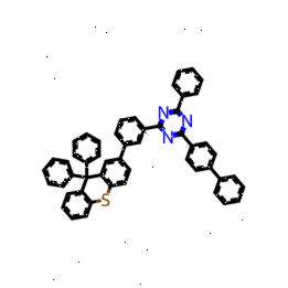 c1ccc(-c2ccc(-c3nc(-c4ccccc4)nc(-c4cccc(-c5ccc6c(c5)C(c5ccccc5)(c5ccccc5)c5ccccc5S6)c4)n3)cc2)cc1